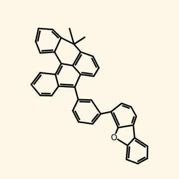 CC1(C)c2ccccc2-c2c3ccccc3c(-c3cccc(-c4cccc5c4oc4ccccc45)c3)c3cccc1c23